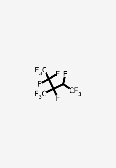 F[C](C(F)(F)F)C(F)(C(F)(F)F)C(F)(F)C(F)(F)F